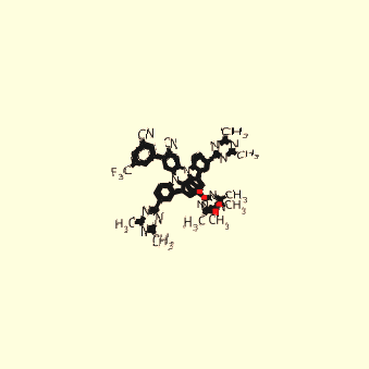 Cc1nc(C)nc(-c2ccc3c(c2)c2cc(-c4nc(C)nc(C)n4)ccc2n3-c2cc(C#N)c(-c3cc(C#N)cc(C(F)(F)F)c3)cc2-n2c3ccc(-c4nc(C)nc(C)n4)cc3c3cc(-c4nc(C)nc(C)n4)ccc32)n1